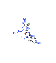 NN=NC1=NC(N=NN)=C(Cl)NC1C(=O)/N=C1/NC2(CCN(N)CC2)CN1N